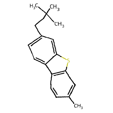 Cc1ccc2c(c1)sc1cc(CC(C)(C)C)ccc12